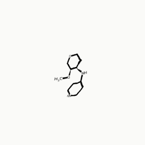 CO[C@H]1COCC[C@H]1NC1CCNCC1